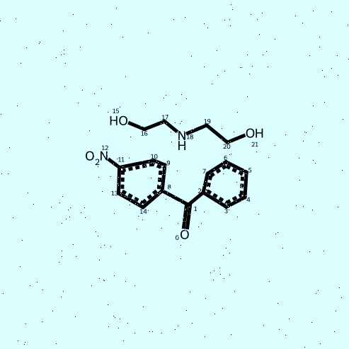 O=C(c1ccccc1)c1ccc([N+](=O)[O-])cc1.OCCNCCO